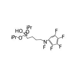 CC(C)O[Si](O)(CCCCN(F)c1cc(F)c(F)c(F)c1F)OC(C)C